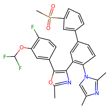 Cc1cn(-c2ccc(-c3cccc(S(C)(=O)=O)c3)cc2-c2nc(C)oc2-c2ccc(F)c(OC(F)F)c2)c(C)n1